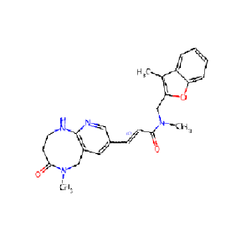 Cc1c(CN(C)C(=O)/C=C/c2cnc3c(c2)CN(C)C(=O)CCN3)oc2ccccc12